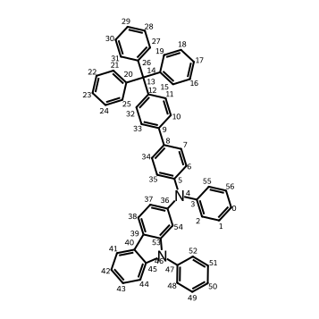 c1ccc(N(c2ccc(-c3ccc(C(c4ccccc4)(c4ccccc4)c4ccccc4)cc3)cc2)c2ccc3c4ccccc4n(-c4ccccc4)c3c2)cc1